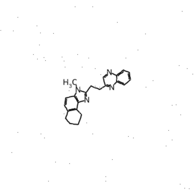 Cn1c(CCc2cnc3ccccc3n2)nc2c3c(ccc21)CCCC3